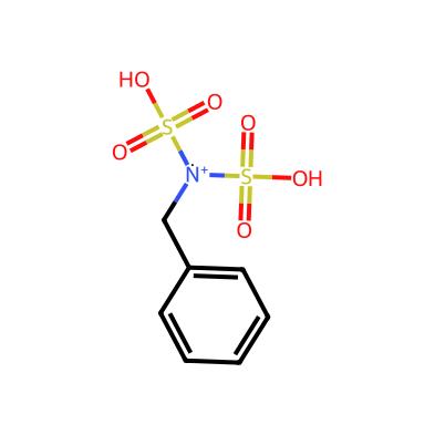 O=S(=O)(O)[N+](Cc1ccccc1)S(=O)(=O)O